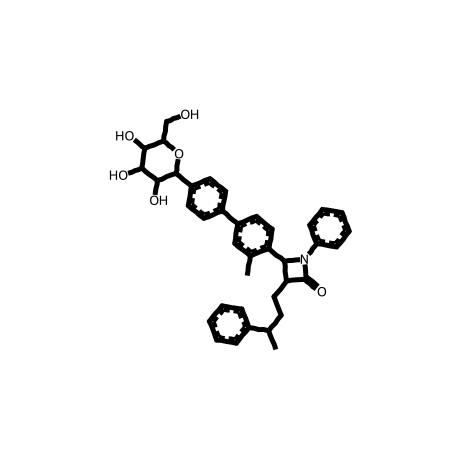 Cc1cc(-c2ccc(C3OC(CO)C(O)C(O)C3O)cc2)ccc1C1C(CCC(C)c2ccccc2)C(=O)N1c1ccccc1